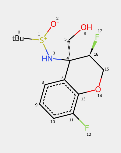 CC(C)(C)[S+]([O-])N[C@]1(CO)c2cccc(F)c2OC[C@@H]1F